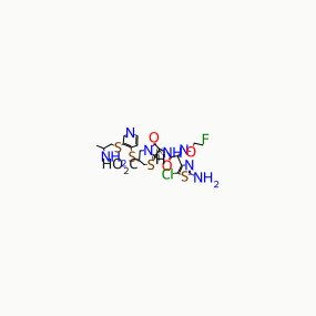 CC(N)CSc1cnccc1SC1(C(=O)O)CS[C@@H]2[C@H](NC(=O)C(=NOCCF)c3nc(N)sc3Cl)C(=O)N2C1